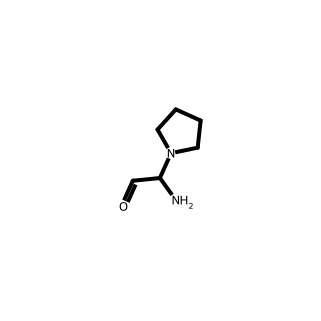 NC(C=O)N1CCCC1